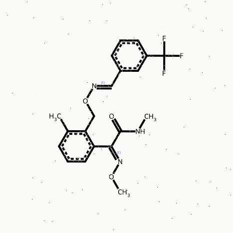 CNC(=O)/C(=N/OC)c1cccc(C)c1CO/N=C/c1cccc(C(F)(F)F)c1